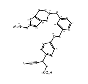 CC#CC(CC(=O)O)c1ccc(OCc2cccc(CN3CCc4sc(CNC)cc4C3)c2)cc1